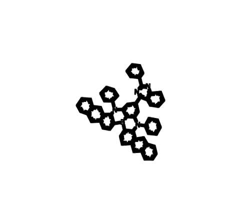 c1ccc(-c2nc(-c3cc4c5c(c3)N(c3ccccc3)c3c(ccc6cc7ccccc7cc36)B5c3ccc5cc6ccccc6cc5c3N4c3ccccc3)c3ccccc3n2)cc1